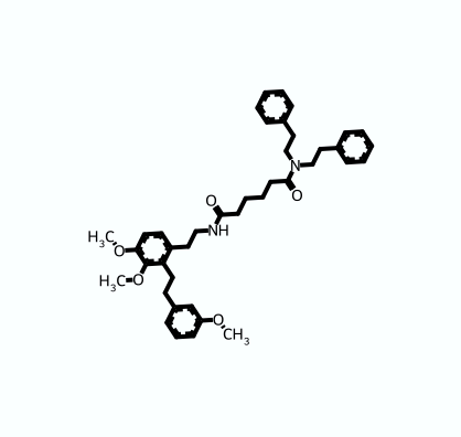 COc1cccc(CCc2c(CCNC(=O)CCCCC(=O)N(CCc3ccccc3)CCc3ccccc3)ccc(OC)c2OC)c1